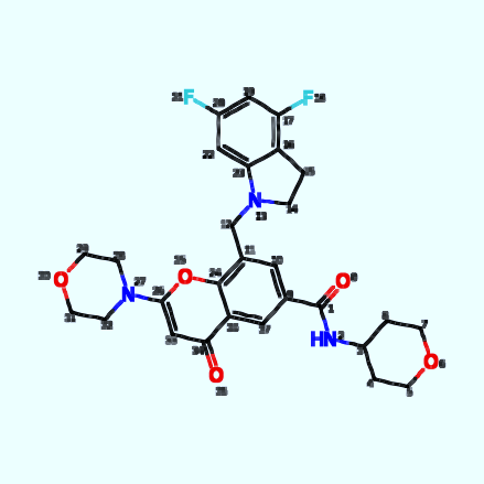 O=C(NC1CCOCC1)c1cc(CN2CCc3c(F)cc(F)cc32)c2oc(N3CCOCC3)cc(=O)c2c1